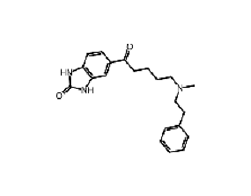 CN(CCCCC(=O)c1ccc2[nH]c(=O)[nH]c2c1)CCc1ccccc1